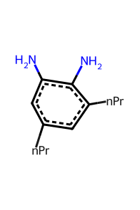 CCCc1cc(N)c(N)c(CCC)c1